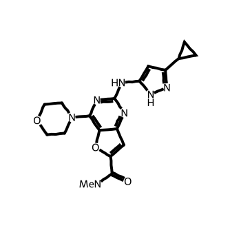 CNC(=O)c1cc2nc(Nc3cc(C4CC4)n[nH]3)nc(N3CCOCC3)c2o1